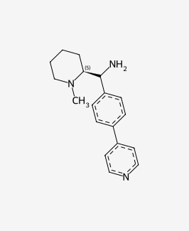 CN1CCCC[C@H]1C(N)c1ccc(-c2ccncc2)cc1